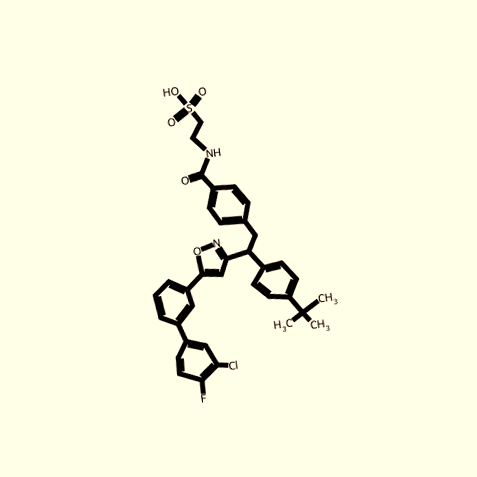 CC(C)(C)c1ccc(C(Cc2ccc(C(=O)NCCS(=O)(=O)O)cc2)c2cc(-c3cccc(-c4ccc(F)c(Cl)c4)c3)on2)cc1